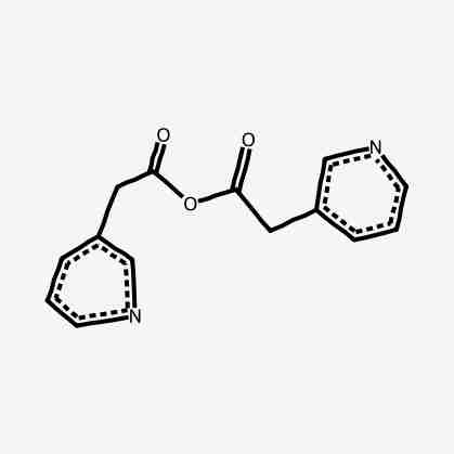 O=C(Cc1cccnc1)OC(=O)Cc1cccnc1